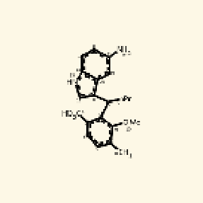 CCCC(c1c(C(=O)O)ccc(C)c1OC)c1c[nH]c2ccc(N)cc12